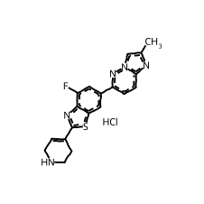 Cc1cn2nc(-c3cc(F)c4nc(C5=CCNCC5)sc4c3)ccc2n1.Cl